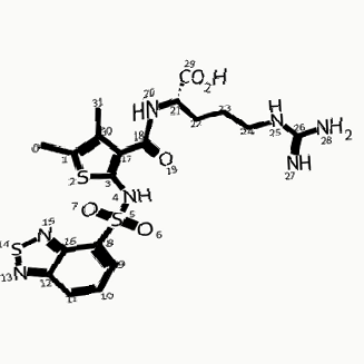 Cc1sc(NS(=O)(=O)c2cccc3nsnc23)c(C(=O)N[C@@H](CCCNC(=N)N)C(=O)O)c1C